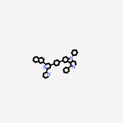 c1ccc(-c2nccc3c2c2cc(-c4ccc(-c5cc(-c6ccc7ccccc7c6)nc(-c6ccccn6)c5)cc4)ccc2n3-c2ccccc2)cc1